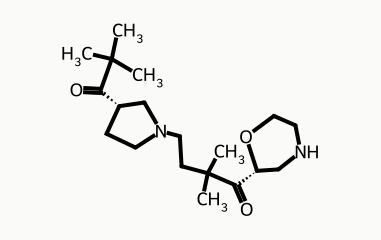 CC(C)(C)C(=O)[C@H]1CCN(CCC(C)(C)C(=O)[C@H]2CNCCO2)C1